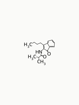 CCCCC1=C(NC(=O)C(C)C)C(=O)c2ccccc21